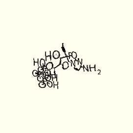 CC#CC1(F)[C@@H](O)[C@@H]([C@@H](C)OP(=O)(O)OP(=O)(O)OP(=O)(O)O)O[C@H]1n1ccc(N)nc1=O